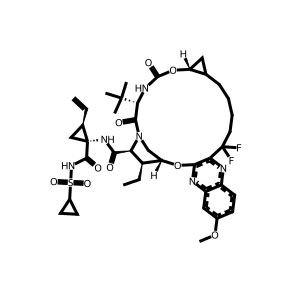 C=C[C@@H]1C[C@]1(NC(=O)[C@@H]1[C@H](CC)[C@@H]2CN1C(=O)[C@H](C(C)(C)C)NC(=O)O[C@@H]1CC1CCCCC(F)(F)c1nc3ccc(OC)cc3nc1O2)C(=O)NS(=O)(=O)C1CC1